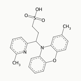 Cc1ccc2c(c1)N(C(CCS(=O)(=O)O)c1cccc(C)n1)c1ccccc1O2